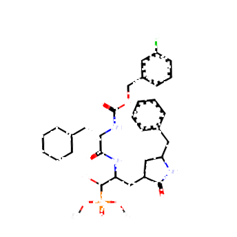 CCOP(=O)(OCC)C(O)C(CC1CC(Cc2ccccc2)NC1=O)NC(=O)[C@H](CC1CCCCC1)NC(=O)OCc1cccc(Cl)c1